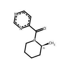 C[C@H]1CCCCN1C(=O)c1ccncn1